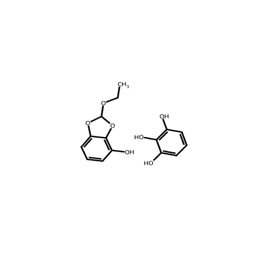 CCOC1Oc2cccc(O)c2O1.Oc1cccc(O)c1O